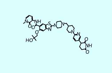 Cn1cccc(NC(=O)c2cc3sc(N4CCN(CC5CCN(c6ccc(C7CCC(=O)NC7=O)cn6)CC5)CC4)nc3cc2OCC(C)(C)O)c1=O